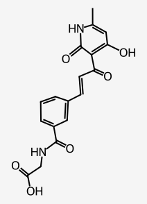 Cc1cc(O)c(C(=O)C=Cc2cccc(C(=O)NCC(=O)O)c2)c(=O)[nH]1